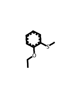 CCOc1ccccc1SC